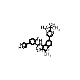 Cc1nc2ccc(-c3cnc(C(C)(C)O)nc3)cc2c(NC(C)c2cc(-c3cn[nH]c3)ccc2F)c1Cl